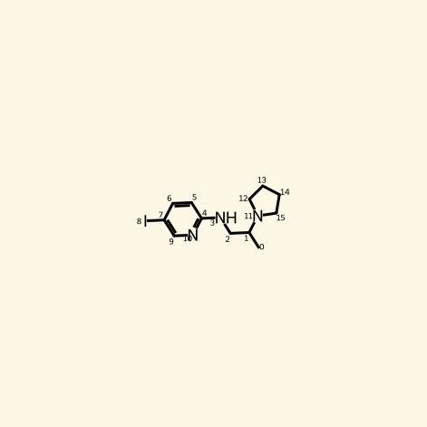 CC(CNc1ccc(I)cn1)N1CCCC1